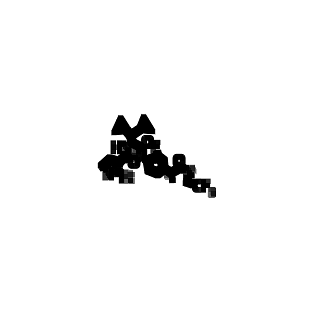 CCn1nccc1C(=O)NC(C(=O)Nc1ccc([C@H](C)C(=O)N(C)CC(F)(F)F)cc1F)C(C1CC1)C1CC1